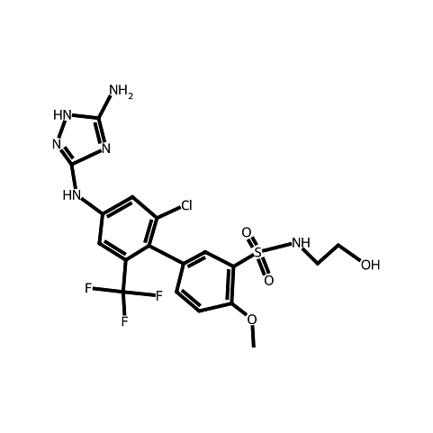 COc1ccc(-c2c(Cl)cc(Nc3n[nH]c(N)n3)cc2C(F)(F)F)cc1S(=O)(=O)NCCO